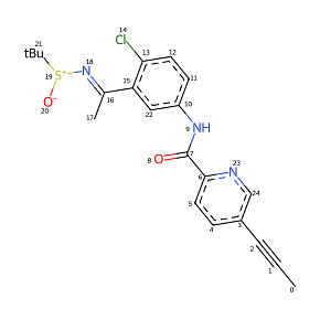 CC#Cc1ccc(C(=O)Nc2ccc(Cl)c(/C(C)=N/[S+]([O-])C(C)(C)C)c2)nc1